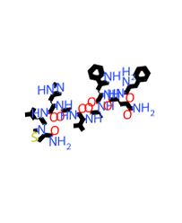 CC(C)C[C@@H](CN1CSCC1C(N)=O)NC(=O)[C@H](Cc1cnc[nH]1)NC(=O)CNC(=O)[C@@H](NC(=O)[C@H](C)NC(=O)[C@H](Cc1c[nH]c2ccccc12)NC(=O)[C@H](CCC(N)=O)NC(=O)[C@H](N)Cc1ccccc1)C(C)C